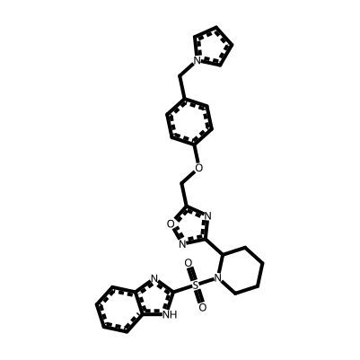 O=S(=O)(c1nc2ccccc2[nH]1)N1CCCCC1c1noc(COc2ccc(Cn3cccc3)cc2)n1